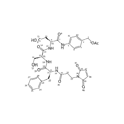 CC(=O)OCc1ccc(NC(=O)[C@H](CC(=O)O)NC(=O)[C@H](CO)NC(=O)[C@H](Cc2ccccc2)NC(=O)CCN2C(=O)C=CC2=O)cc1